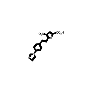 O=C(O)c1cc([N+](=O)[O-])c(/C=C/c2ccc(-n3ccnc3)cc2)s1